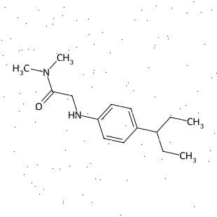 CCC(CC)c1ccc(NCC(=O)N(C)C)cc1